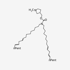 CCCCCC=CCC=CCCCCCCCCN(CCCCCCCCC=CCC=CCCCCC)C(=O)OCC1CCN(C)C1